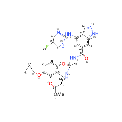 COC(=O)C[C@H](NC(=O)CNC(=O)c1cc(NC2=NCC(F)CN2)c2cn[nH]c2c1)c1cccc(OC2CC2)c1